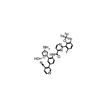 [2H]C([2H])([2H])Oc1c(F)ccc(F)c1-c1nccc(C(=O)Nc2ccc(-c3cnccc3C#N)cc2N2C[C@@H](N)C[C@H]2CO)n1